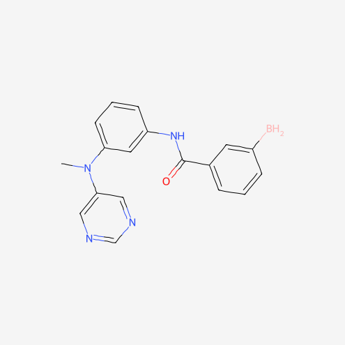 Bc1cccc(C(=O)Nc2cccc(N(C)c3cncnc3)c2)c1